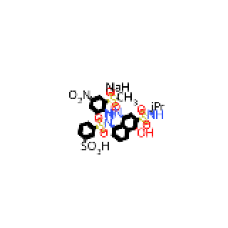 CC(C)NS(=O)(=O)c1cc(N=Nc2ccc([N+](=O)[O-])cc2S(C)(=O)=O)c2c(NS(=O)(=O)c3cccc(S(=O)(=O)O)c3)cccc2c1O.[NaH]